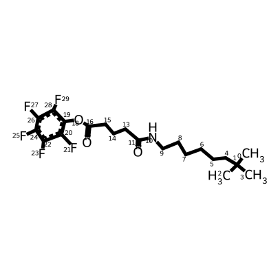 CC(C)(C)CCCCCCNC(=O)CCCC(=O)Oc1c(F)c(F)c(F)c(F)c1F